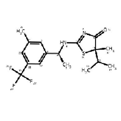 Cc1cc([C@H](C)NC2=NC(=O)C(C)(C(C)C)S2)cc(C(F)(F)F)c1